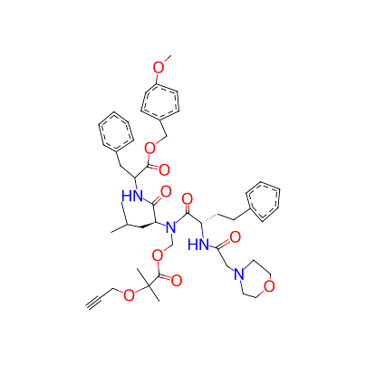 C#CCOC(C)(C)C(=O)OCN(C(=O)[C@H](CCc1ccccc1)NC(=O)CN1CCOCC1)[C@@H](CC(C)C)C(=O)NC(Cc1ccccc1)C(=O)OCc1ccc(OC)cc1